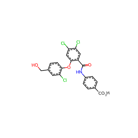 O=C(O)c1ccc(NC(=O)c2cc(Cl)c(Cl)cc2Oc2ccc(CO)cc2Cl)cc1